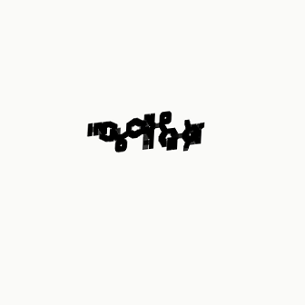 Cc1nn(C)c(C)c1-c1cc(C(=O)c2nc3ccc(C(=O)N4CCNCC4)cc3[nH]2)ccn1